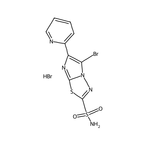 Br.NS(=O)(=O)c1nn2c(Br)c(-c3ccccn3)nc2s1